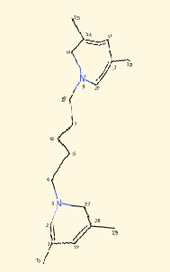 CC1=CN(CCCCCN2C=C(C)C=C(C)C2)CC(C)=C1